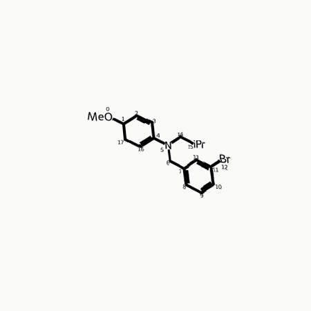 COC1C=CC(N(Cc2cccc(Br)c2)CC(C)C)=CC1